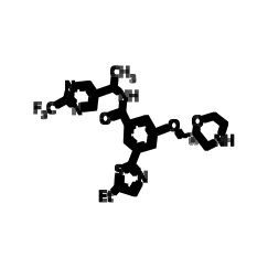 CCc1cnc(-c2cc(OC[C@H]3CNCCO3)cc(C(=O)NC(C)c3cnc(C(F)(F)F)nc3)c2)s1